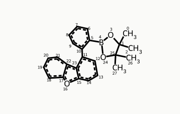 CC1(C)OB(c2ccccc2-c2cccc3oc4ccccc4c23)OC1(C)C